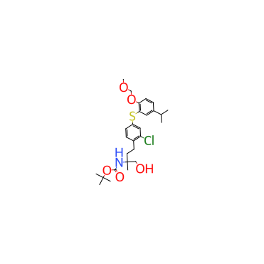 COCOc1ccc(C(C)C)cc1Sc1ccc(CCC(C)(CO)NC(=O)OC(C)(C)C)c(Cl)c1